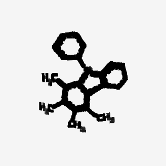 Cc1c(C)c(C)c2c(c1C)c1ccccc1[s+]2-c1ccccc1